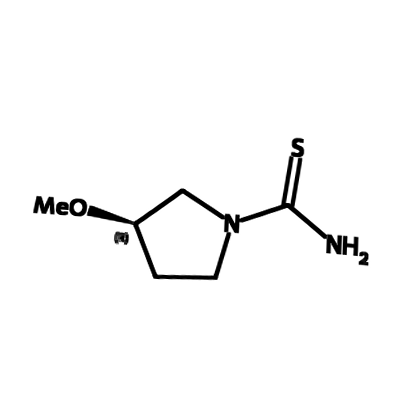 CO[C@@H]1CCN(C(N)=S)C1